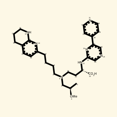 CO[C@H](C)CN(CCCCc1ccc2c(n1)NCCC2)CC[C@H](Nc1cncc(-c2ccncc2)n1)C(=O)O